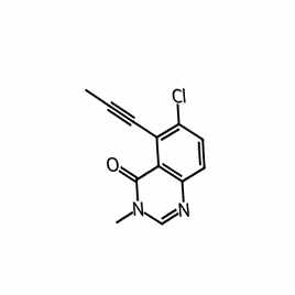 CC#Cc1c(Cl)ccc2ncn(C)c(=O)c12